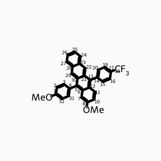 COc1ccc(-c2c3cc(OC)ccc3c(-c3ccc(C(F)(F)F)cc3)c3cc4ccccc4cc23)cc1